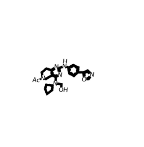 CC(=O)N1CCc2nc(Nc3ccc(-c4cnco4)cc3)nc(N(CO)C3CCCC3)c2C1